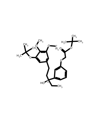 CC[C@](O)(CCc1cc(OC)c(OC)c(OC(C)(C)C)c1)c1cccc(OCC(=O)OC(C)(C)C)c1